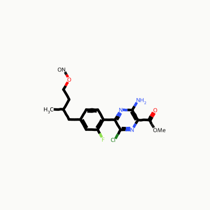 COC(=O)c1nc(Cl)c(-c2ccc(CC(C)CCON=O)cc2F)nc1N